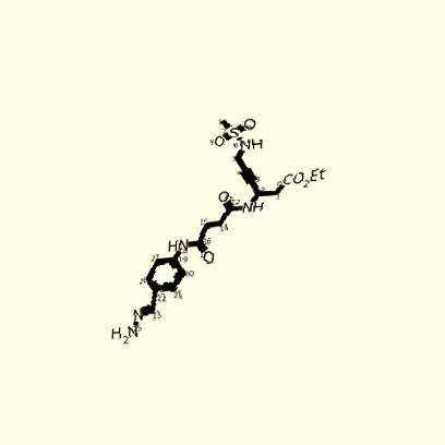 CCOC(=O)CC(C#CCNS(C)(=O)=O)NC(=O)CCC(=O)Nc1ccc(C=NN)cc1